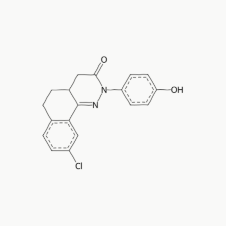 O=C1CC2CCc3ccc(Cl)cc3C2=NN1c1ccc(O)cc1